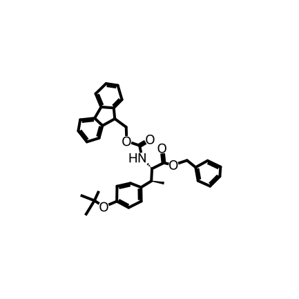 C[C@@H](c1ccc(OC(C)(C)C)cc1)[C@H](NC(=O)OCC1c2ccccc2-c2ccccc21)C(=O)OCc1ccccc1